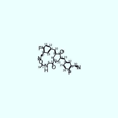 CC(=O)NCC(=O)N1C/C(=C\c2ccc(F)c(C#N)c2)C(=O)/C(=C/c2ccc(F)c(C#N)c2)C1